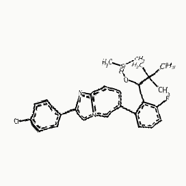 C[SiH](C)OC(c1c(F)cccc1-c1ccc2nc(-c3ccc(Cl)cc3)cn2c1)C(C)(C)C